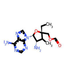 CC[C@]1(COC=O)O[C@@H](n2cnc3c(N)ncnc32)[C@@H](N)C1C